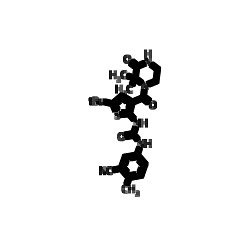 Cc1ccc(NC(=O)Nc2sc(C(C)(C)C)cc2C(=O)N2CCNC(=O)C2(C)C)cc1C#N